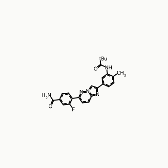 Cc1ccc(-c2cn3nc(-c4ccc(C(N)=O)cc4F)ccc3n2)cc1NC(=O)C(C)(C)C